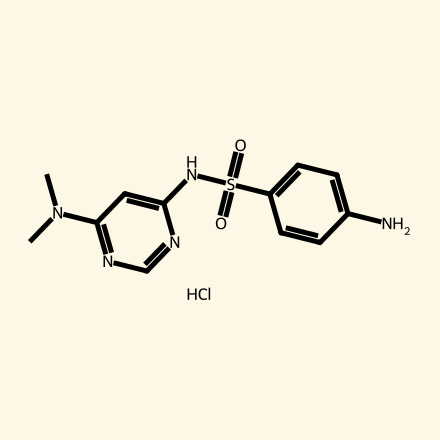 CN(C)c1cc(NS(=O)(=O)c2ccc(N)cc2)ncn1.Cl